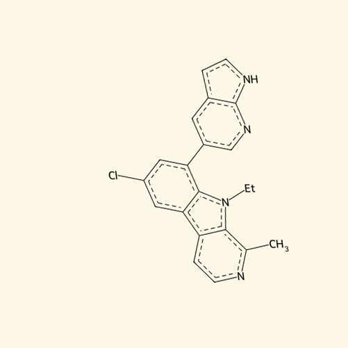 CCn1c2c(-c3cnc4[nH]ccc4c3)cc(Cl)cc2c2ccnc(C)c21